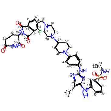 Cc1cnc(Nc2ccc(N3CCC(N4CCN(Cc5ccc6c(c5F)C(=O)N(C5CCC(=O)NC5=O)C6=O)CC4)CC3)cc2)nc1Nc1cccc(S(=O)(=O)NC(C)(C)C)c1